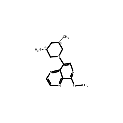 COc1ncc(N2C[C@@H](C)C[C@@H](N)C2)c2nccnc12